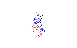 CCOC(=O)CNc1ncc(F)cc1NC1CCC(NC(=O)OC(C)(C)C)CC1